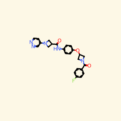 O=C(Nc1ccc(OC2CN(C(=O)c3ccc(F)cc3)C2)cc1)C1CN(c2ccnnc2)C1